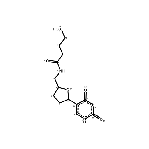 O=C(O)CCCC(=O)NCC1CCC(c2c[nH]c(=O)[nH]c2=O)O1